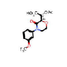 CC(=O)O[C@@H](C(=O)O)[C@H]1OCCN(c2cccc(OC(F)(F)F)c2)C1=O